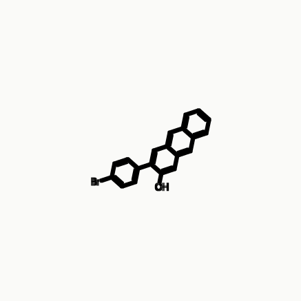 Oc1cc2cc3ccccc3cc2cc1-c1ccc(Br)cc1